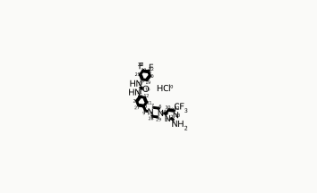 Cl.Nc1nc(N2CCN(Cc3ccc(NC(=O)Nc4ccc(F)c(F)c4)cc3)CC2)cc(C(F)(F)F)n1